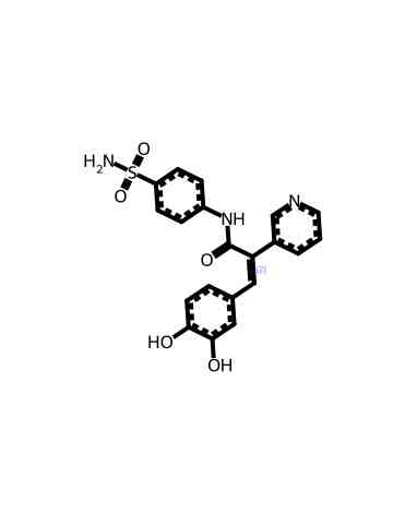 NS(=O)(=O)c1ccc(NC(=O)/C(=C\c2ccc(O)c(O)c2)c2cccnc2)cc1